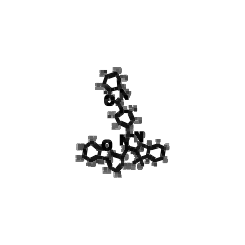 CC1(C)c2ccccc2-c2nc(-c3ccc(-c4nc5ccccc5o4)cc3)nc(-c3cccc4c3oc3ccccc34)c21